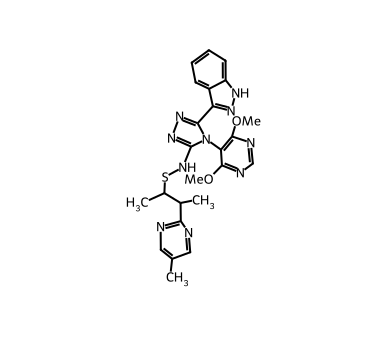 COc1ncnc(OC)c1-n1c(NSC(C)C(C)c2ncc(C)cn2)nnc1-c1n[nH]c2ccccc12